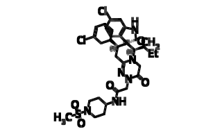 C=C(CC)[C@H]1N2CC(=O)N(CC(=O)NC3CCN(S(C)(=O)=O)CC3)N=C2C[C@@H](C2C=CC=C(Cl)C2)[C@]12C(=O)Nc1cc(Cl)ccc12